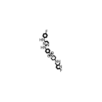 Cc1nc(F)ccc1CNC1CCN(S(=O)(=O)c2ccc(Nc3nccc(Nc4ccc(F)cc4)n3)cc2)CC1